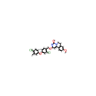 COc1ccc2c(c1)CCn1c-2cc(OCc2ccc(Oc3ccc(Cl)c(C)c3)cc2Cl)nc1=O